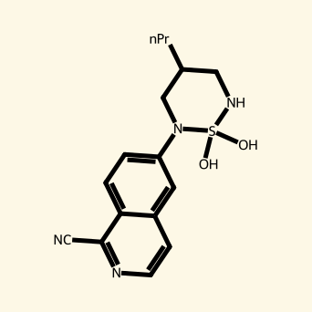 CCCC1CNS(O)(O)N(c2ccc3c(C#N)nccc3c2)C1